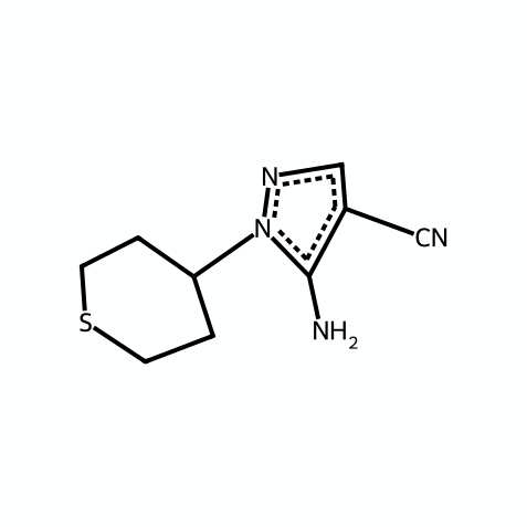 N#Cc1cnn(C2CCSCC2)c1N